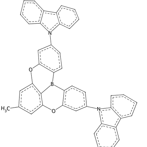 Cc1cc2c3c(c1)Oc1cc(-n4c5ccccc5c5ccccc54)ccc1B3c1ccc(-n3c4ccccc4c4ccccc43)cc1O2